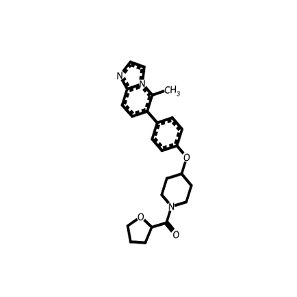 Cc1c(-c2ccc(OC3CCN(C(=O)C4CCCO4)CC3)cc2)ccc2nccn12